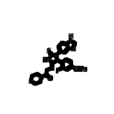 COc1ccc(C2/C(=N/CC(=O)N3CCSCC3)NC(=S)N2c2ccc3[nH]cnc3c2)c(F)c1